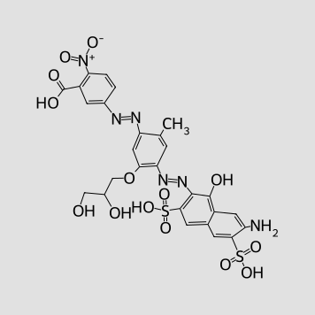 Cc1cc(/N=N/c2c(S(=O)(=O)O)cc3cc(S(=O)(=O)O)c(N)cc3c2O)c(OCC(O)CO)cc1/N=N/c1ccc([N+](=O)[O-])c(C(=O)O)c1